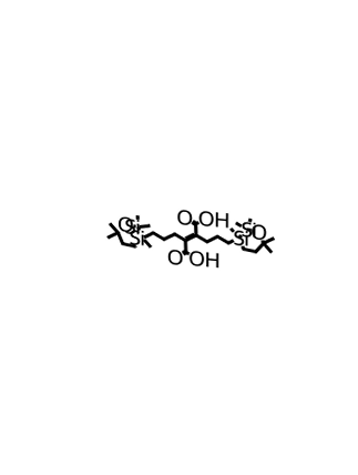 CC1(C)CC[Si](C)(CCCC(C(=O)O)=C(CCC[Si]2(C)CCC(C)(C)O[Si]2(C)C)C(=O)O)[Si](C)(C)O1